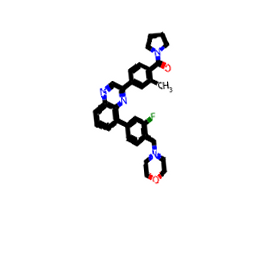 Cc1cc(-c2cnc3cccc(-c4ccc(CN5CCOCC5)c(F)c4)c3n2)ccc1C(=O)N1CCCC1